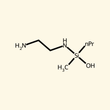 CCC[Si](C)(O)NCCN